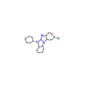 Brc1ccc2nc3n(-c4ccccc4)c4ccccc4n3c2c1